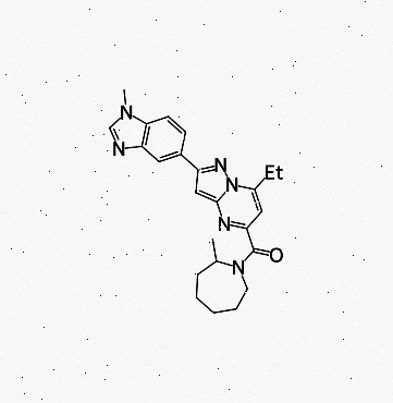 CCc1cc(C(=O)N2CCCCCC2C)nc2cc(-c3ccc4c(c3)ncn4C)nn12